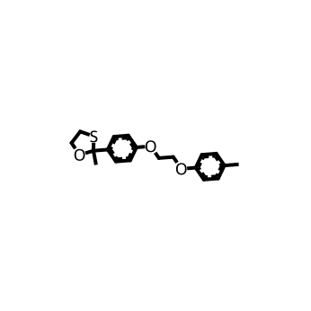 Cc1ccc(OCCOc2ccc(C3(C)OCCS3)cc2)cc1